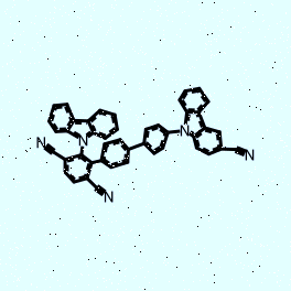 N#Cc1ccc2c(c1)c1ccccc1n2-c1ccc(-c2ccc(-c3c(C#N)ccc(C#N)c3-n3c4ccccc4c4ccccc43)cc2)cc1